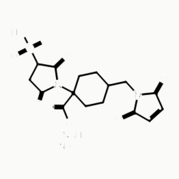 O=C1C=CC(=O)N1CC1CCC(C(=O)O)(N2C(=O)CC(S(=O)(=O)O)C2=O)CC1.[NaH].[NaH]